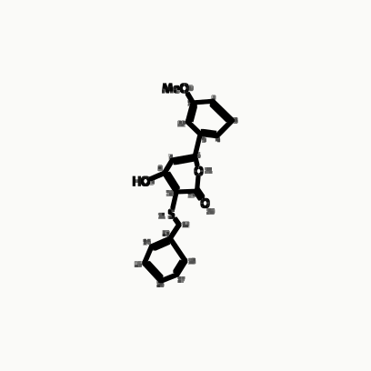 COc1cccc(-c2cc(O)c(SCc3ccccc3)c(=O)o2)c1